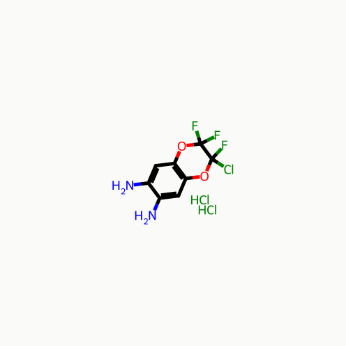 Cl.Cl.Nc1cc2c(cc1N)OC(F)(Cl)C(F)(F)O2